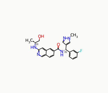 C[C@@H](CO)Nc1cc2cc(C(=O)N[C@@H](c3cccc(F)c3)c3cnn(C)c3)ccc2cn1